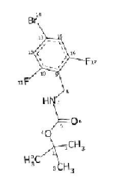 CC(C)(C)OC(=O)NCc1c(F)cc(Br)cc1F